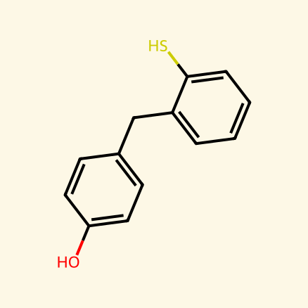 Oc1ccc(Cc2ccccc2S)cc1